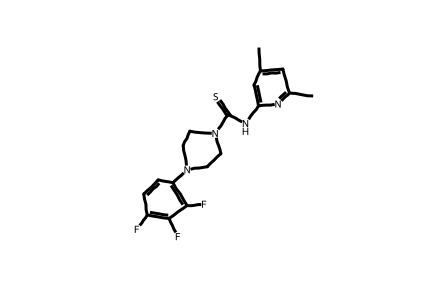 Cc1cc(C)nc(NC(=S)N2CCN(c3ccc(F)c(F)c3F)CC2)c1